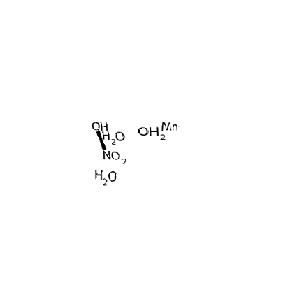 O.O.O.O=[N+]([O-])O.[Mn]